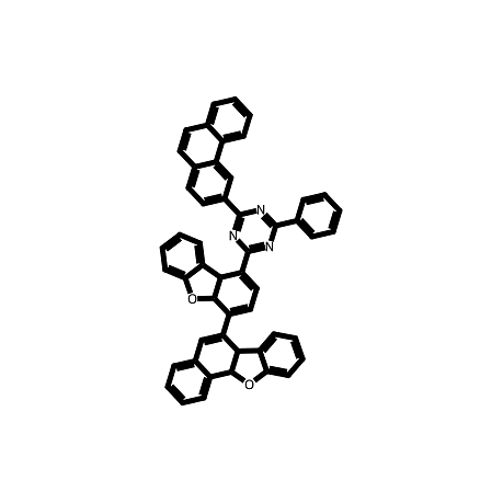 C1=C(C2=Cc3ccccc3C3Oc4ccccc4C23)C2Oc3ccccc3C2C(c2nc(-c3ccccc3)nc(-c3ccc4ccc5ccccc5c4c3)n2)=C1